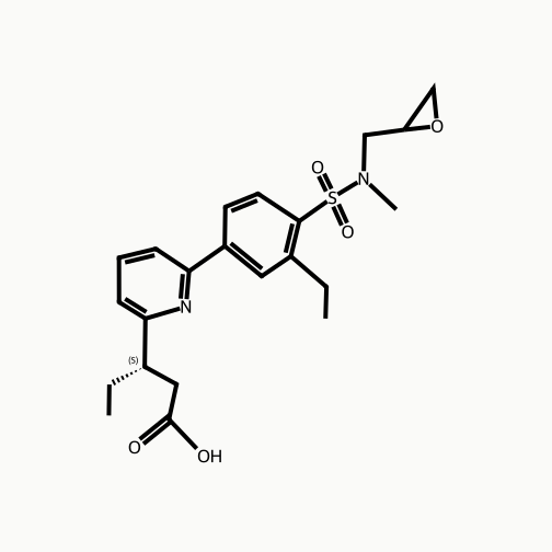 CCc1cc(-c2cccc([C@@H](CC)CC(=O)O)n2)ccc1S(=O)(=O)N(C)CC1CO1